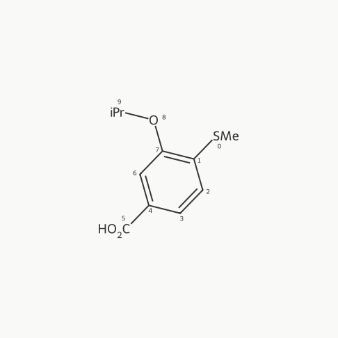 CSc1ccc(C(=O)O)cc1OC(C)C